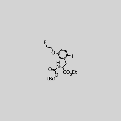 CCOC(=O)C(Cc1cc(OCCF)ccc1I)NC(=O)OC(C)(C)C